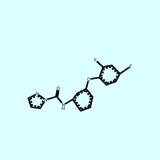 O=C(Nc1cccc(Oc2ccc(F)cc2F)c1)n1cccn1